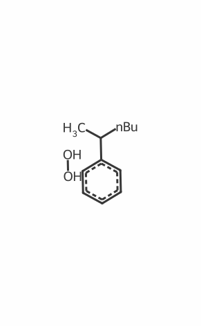 CCCCC(C)c1ccccc1.OO